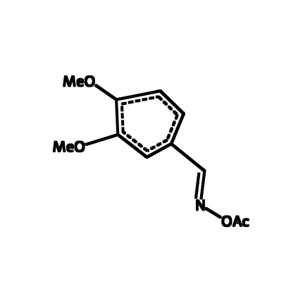 COc1ccc(/C=N/OC(C)=O)cc1OC